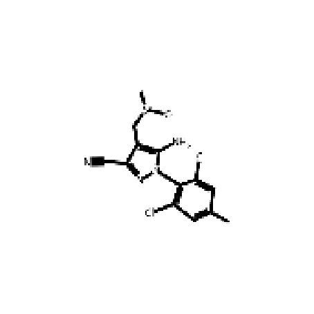 Cc1cc(Cl)c(-n2nc(C#N)c(C[S+](C)[O-])c2N)c(Cl)c1